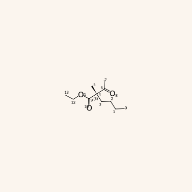 CCCC[C@@](C)(C(C)=O)C(=O)OCC